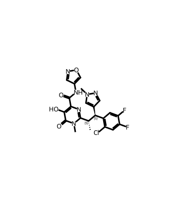 C[C@H](c1nc(C(=O)Nc2cnoc2)c(O)c(=O)n1C)[C@@H](c1cnn(C)c1)c1cc(F)c(F)cc1Cl